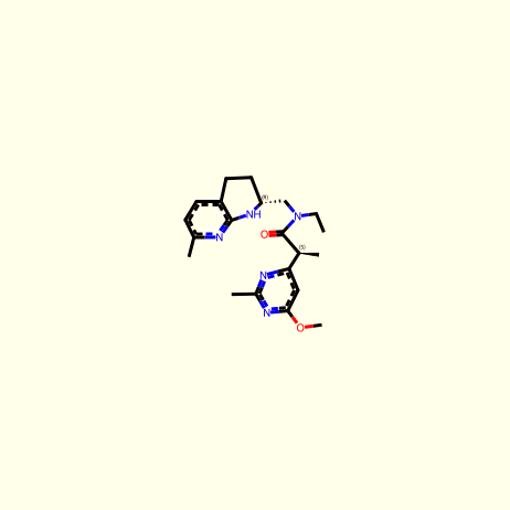 CCN(C[C@H]1CCc2ccc(C)nc2N1)C(=O)[C@@H](C)c1cc(OC)nc(C)n1